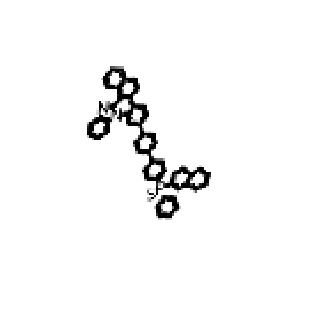 S=P(c1ccccc1)(c1ccc(-c2ccc(-c3ccc4c5ccc6ccccc6c5c5nc6ccccc6n5c4c3)cc2)cc1)c1ccc2ccccc2c1